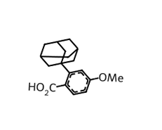 COc1ccc(C(=O)O)c(C23CC4CC(CC(C4)C2)C3)c1